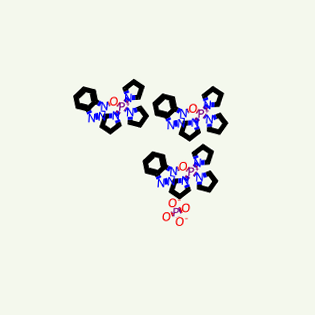 O=P([O-])([O-])[O-].c1ccc2c(c1)nnn2O[P+](N1CCCC1)(N1CCCC1)N1CCCC1.c1ccc2c(c1)nnn2O[P+](N1CCCC1)(N1CCCC1)N1CCCC1.c1ccc2c(c1)nnn2O[P+](N1CCCC1)(N1CCCC1)N1CCCC1